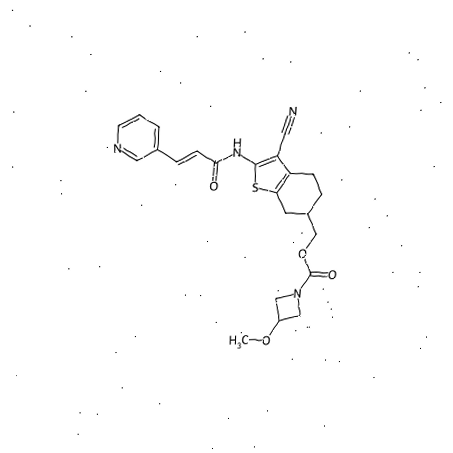 COC1CN(C(=O)OCC2CCc3c(sc(NC(=O)C=Cc4cccnc4)c3C#N)C2)C1